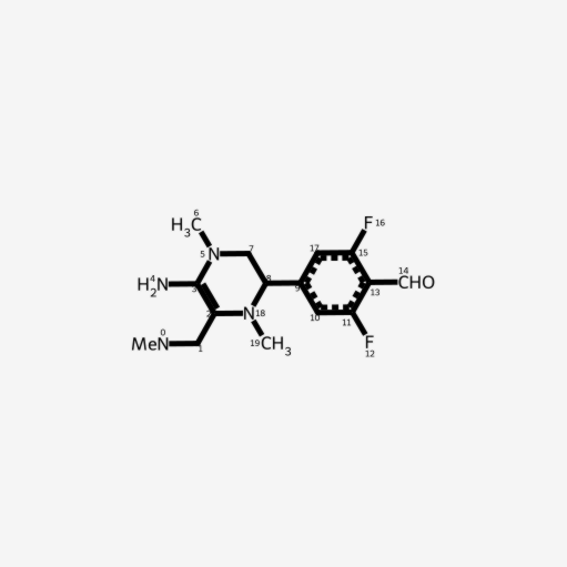 CNCC1=C(N)N(C)CC(c2cc(F)c(C=O)c(F)c2)N1C